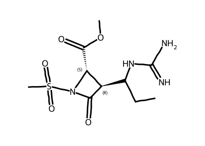 CCC(NC(=N)N)[C@H]1C(=O)N(S(C)(=O)=O)[C@@H]1C(=O)OC